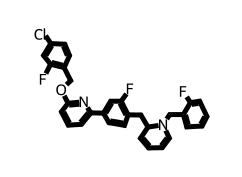 Fc1cc(Cl)ccc1COc1cccc(-c2ccc(CC3C=CC=CN3Cc3ccccc3F)c(F)c2)n1